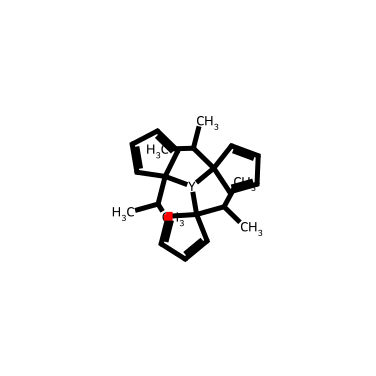 CC(C)[C]1([Y]([C]2(C(C)C)C=CC=C2)[C]2(C(C)C)C=CC=C2)C=CC=C1